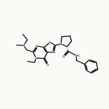 CCN(C)Cc1nc2sc(N3CCC[C@@H]3C(=O)NCc3ccccc3)nc2c(=O)n1CC